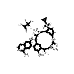 COc1ccc2cc1C(C)CN(C)C(=O)Nc1ccc(S(=O)(=O)C3CC3)c(c1)CN(C)C(=O)[C@H]2Nc1ccc2c(N)nccc2c1.O=C(O)C(F)(F)F